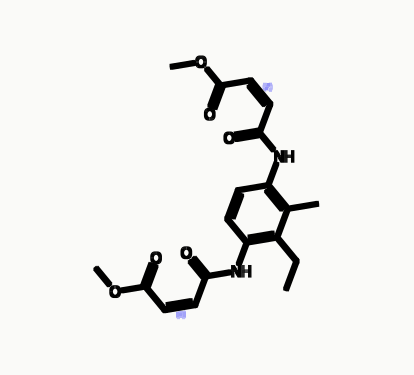 CCc1c(NC(=O)/C=C\C(=O)OC)ccc(NC(=O)/C=C\C(=O)OC)c1C